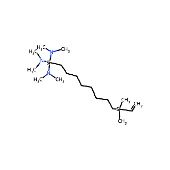 C=C[Si](C)(C)CCCCCCCC[Si](N(C)C)(N(C)C)N(C)C